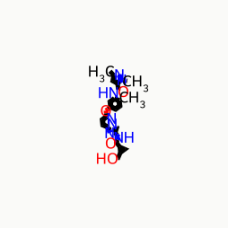 Cc1cc(C(=O)Nc2cc(Oc3ccc4nc(NC(=O)C5CC5CO)cn4n3)ccc2C)n(C)n1